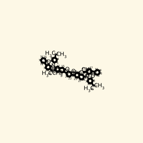 CC(C)c1ccc(N(c2ccc3cc4c(cc3c2)oc2c4ccc3c4cc5ccc(N(c6ccc(C(C)C)cc6)c6c(C(C)(C)C)ccc7c6oc6ccccc67)cc5cc4oc32)c2c(C(C)(C)C)ccc3c2oc2ccccc23)cc1